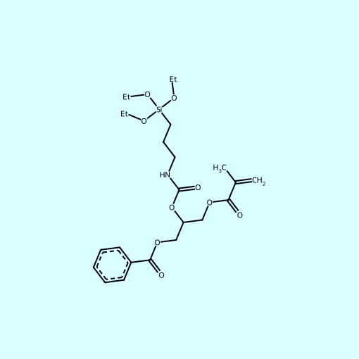 C=C(C)C(=O)OCC(COC(=O)c1ccccc1)OC(=O)NCCC[Si](OCC)(OCC)OCC